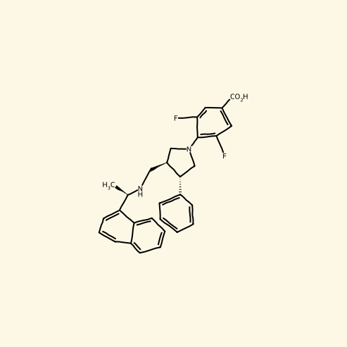 C[C@@H](NC[C@H]1CN(c2c(F)cc(C(=O)O)cc2F)C[C@@H]1c1ccccc1)c1cccc2ccccc12